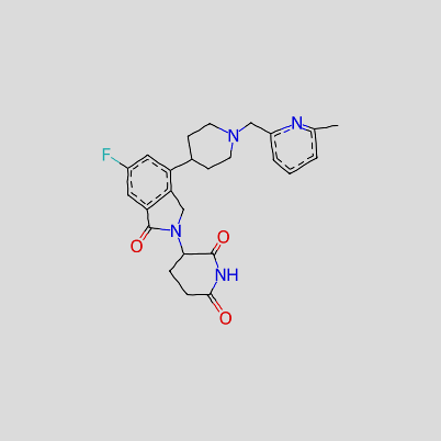 Cc1cccc(CN2CCC(c3cc(F)cc4c3CN(C3CCC(=O)NC3=O)C4=O)CC2)n1